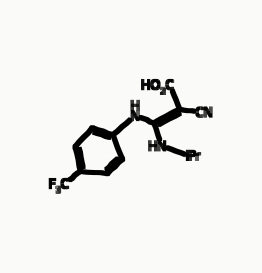 CC(C)NC(Nc1ccc(C(F)(F)F)cc1)=C(C#N)C(=O)O